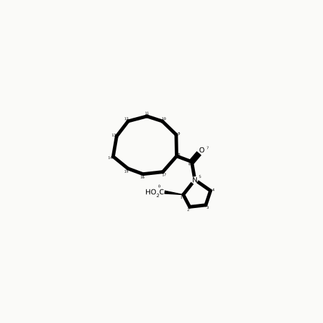 O=C(O)[C@@H]1CCCN1C(=O)C1CCCCCCCCC1